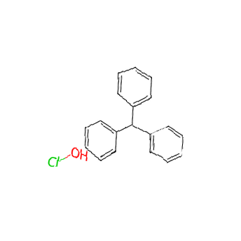 OCl.c1ccc(C(c2ccccc2)c2ccccc2)cc1